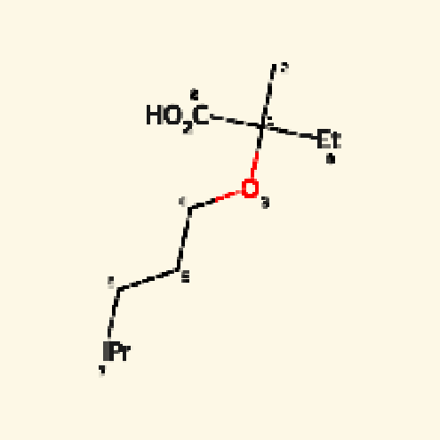 CCC(C)(OCCCC(C)C)C(=O)O